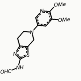 COc1cc(N2CCc3nc(NC=O)sc3C2)cnc1OC